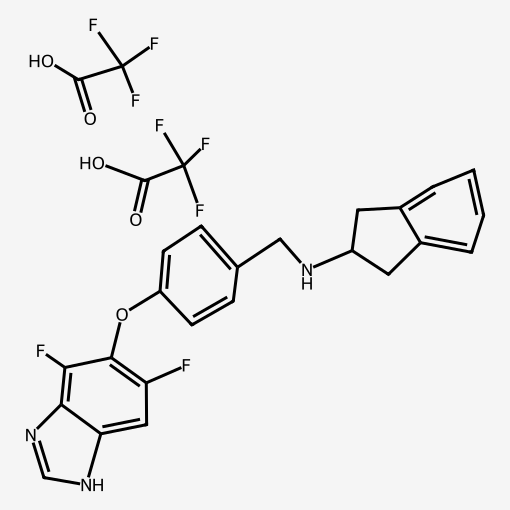 Fc1cc2[nH]cnc2c(F)c1Oc1ccc(CNC2Cc3ccccc3C2)cc1.O=C(O)C(F)(F)F.O=C(O)C(F)(F)F